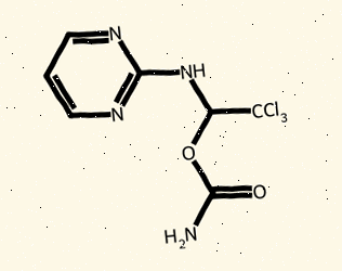 NC(=O)OC(Nc1ncccn1)C(Cl)(Cl)Cl